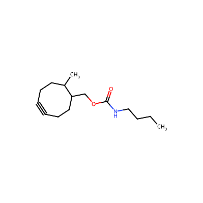 CCCCNC(=O)OCC1CCC#CCCC1C